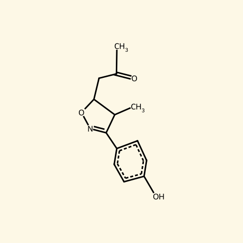 CC(=O)CC1ON=C(c2ccc(O)cc2)C1C